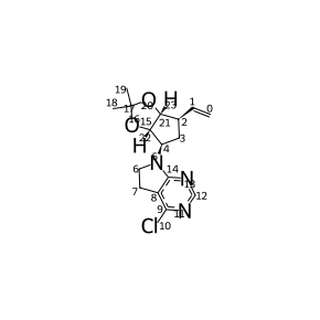 C=C[C@H]1C[C@@H](N2CCc3c(Cl)ncnc32)[C@@H]2OC(C)(C)O[C@@H]21